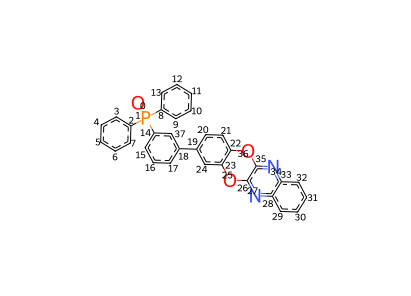 O=P(c1ccccc1)(c1ccccc1)c1cccc(-c2ccc3c(c2)Oc2nc4ccccc4nc2O3)c1